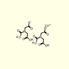 CC(=O)N(CC(=O)[O-])CC(=O)O.CC(=O)N(CC(=O)[O-])CC(=O)O.[Co+2]